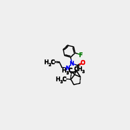 C=CCn1c2c(c(=O)n1-c1ccccc1F)C1CCC2(C)C1(C)C